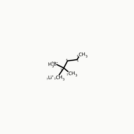 [BH3-]C(C)(C)CCC.[Li+]